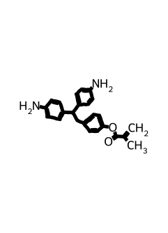 C=C(C)C(=O)Oc1ccc(CC(c2ccc(N)cc2)c2ccc(N)cc2)cc1